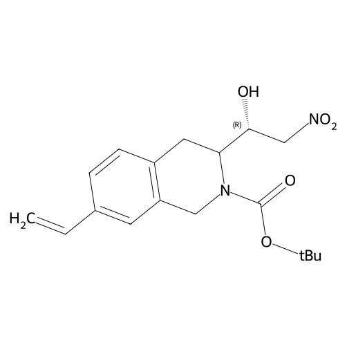 C=Cc1ccc2c(c1)CN(C(=O)OC(C)(C)C)C([C@H](O)C[N+](=O)[O-])C2